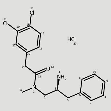 CN(C[C@@H](N)Cc1ccccc1)C(=O)Cc1ccc(Cl)c(Cl)c1.Cl